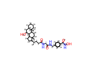 C[C@H](CCC(=O)NCC(=O)NCc1ccc(C(=O)NO)cc1)C1CCC2C3C(CCC21C)C1(C)CCCCC1C[C@@H]3O